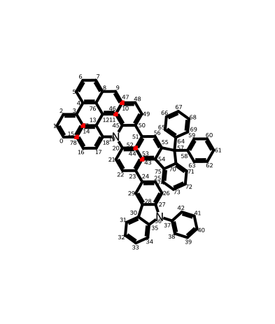 c1ccc(-c2cccc3cccc(-c4ccccc4N(c4ccc(-c5ccc6c(c5)c5ccccc5n6-c5ccccc5)cc4)c4ccccc4-c4ccc5c(c4)C(c4ccccc4)(c4ccccc4)c4ccccc4-5)c23)cc1